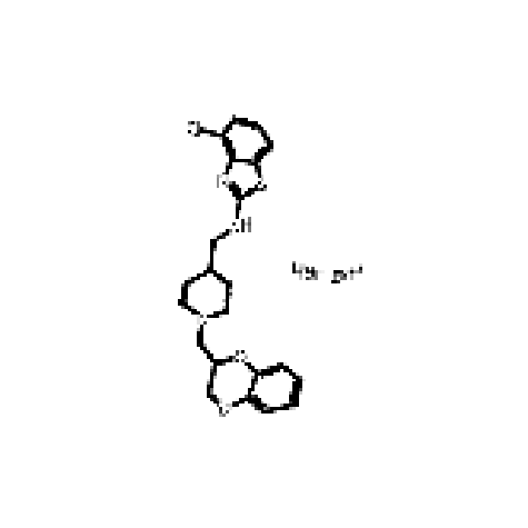 Br.Br.Clc1cccc2sc(NCC3CCN(CC4COc5ccccc5O4)CC3)nc12